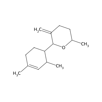 C=C1CCC(C)OC1C1CCC(C)=CC1C